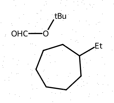 CC(C)(C)OC=O.CCC1CCCCCC1